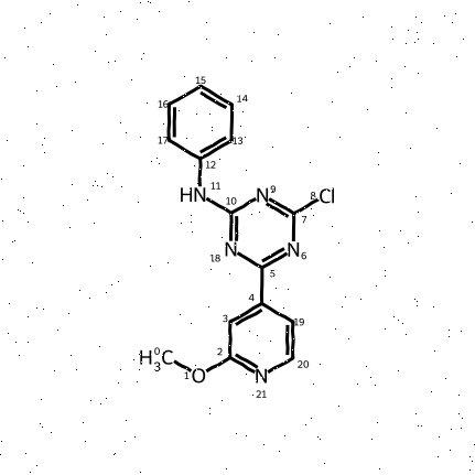 COc1cc(-c2nc(Cl)nc(Nc3ccccc3)n2)ccn1